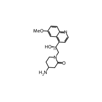 COc1ccc2nccc([C@H](O)CN3CCC(N)CC3=O)c2c1